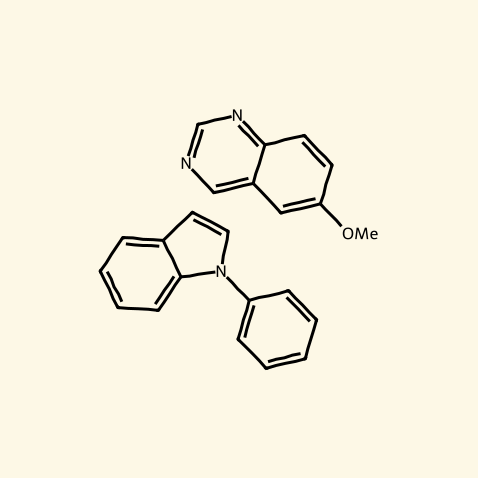 COc1ccc2ncncc2c1.c1ccc(-n2ccc3ccccc32)cc1